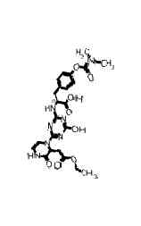 CCOC(=O)CC1C(=O)NCCN1c1nc(O)nc(N[C@@H](Cc2ccc(OC(=O)N(C)C)cc2)C(=O)O)n1